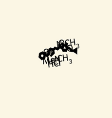 CNC.Cc1c(OCC2CC2)ccc2c(CCC3CCN(CC4(C#N)CCCCC4)CC3)noc12.Cl.Cl